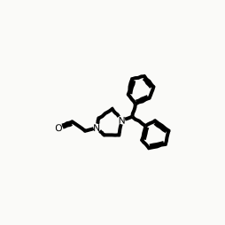 O=CCN1CCN(C(c2ccccc2)c2ccccc2)CC1